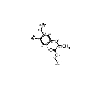 CCOC(=O)C(C)Oc1ccc(Br)c(CBr)c1